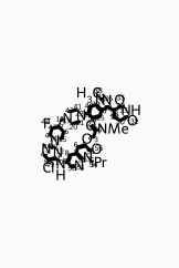 CNC(=O)COc1cc2cc(Nc3nc(N4CC[C@H](CN5CCN(c6ccc7c(C8CCC(=O)NC8=O)nn(C)c7c6)CC5)[C@@H](F)C4)ncc3Cl)cnc2n(C(C)C)c1=O